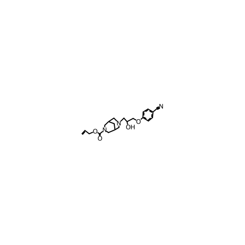 C=CCOC(=O)N1CC2CC(CN(CC(O)COc3ccc(C#N)cc3)C2)C1